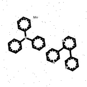 [Mn].c1ccc(N(c2ccccc2)c2ccccc2)cc1.c1cncc(-c2cccnc2-c2cccnc2)c1